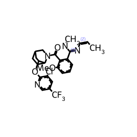 C=N/C(=N\C=C/C)c1cccc(OC)c1C(=O)N1CC2CCC1C(Oc1ncc(C(F)(F)F)cc1Cl)C2